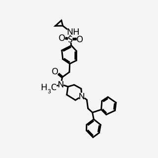 CN(C(=O)Cc1ccc(S(=O)(=O)NC2CC2)cc1)C1CCN(CCC(c2ccccc2)c2ccccc2)CC1